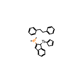 CP(C)C1=Cc2ccccc2[CH]1[Ti][C]1=CC=CC1.c1ccc(CCc2ccccc2)cc1